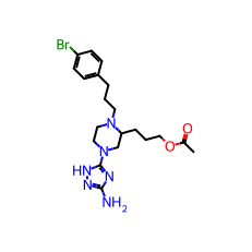 CC(=O)OCCCC1CN(c2nc(N)n[nH]2)CCN1CCCc1ccc(Br)cc1